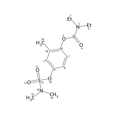 CCN(CC)C(=O)Oc1ccc(OS(=O)(=O)N(C)C)cc1C